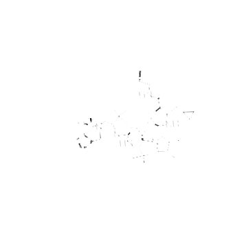 C=CCNC(=O)C(=O)C(CC1CC1)NC(=O)[C@@H]1[C@@H](C)[C@@H](C)CN1C(=O)[C@@H](NC(=O)NC(CN1Cc2sccc2S1(=O)=O)C(C)(C)C)C(C)(C)C